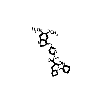 COc1cc2nccc(Oc3ccc(NC(=O)C4=CC5=C(CCC5)N(c5ccccc5)C4O)nc3)c2cc1OC